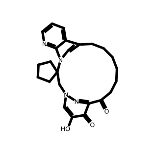 O=C1CCCCCCc2cn(c3ncccc23)C2(CCCC2)Cn2cc(O)c(=O)c1n2